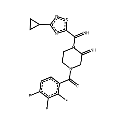 N=C1CN(C(=O)c2ccc(F)c(F)c2F)CCN1C(=N)c1nc(C2CC2)ns1